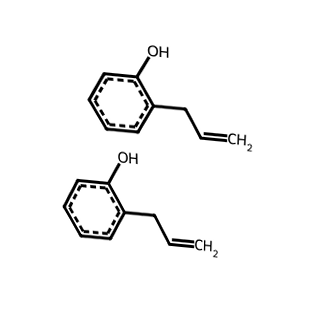 C=CCc1ccccc1O.C=CCc1ccccc1O